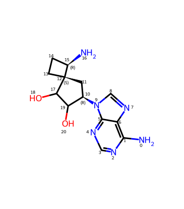 Nc1ncnc2c1ncn2[C@@H]1C[C@]2(CC[C@H]2N)C(O)C1O